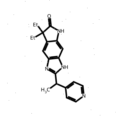 CCC1(CC)C(=O)Nc2cc3[nH]c(C(C)c4ccncc4)nc3cc21